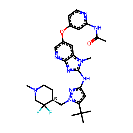 CC(=O)Nc1cc(Oc2cnc3nc(Nc4cc(C(C)(C)C)n(C[C@@H]5CCN(C)CC5(F)F)n4)n(C)c3c2)ccn1